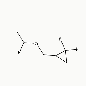 CC(F)OCC1CC1(F)F